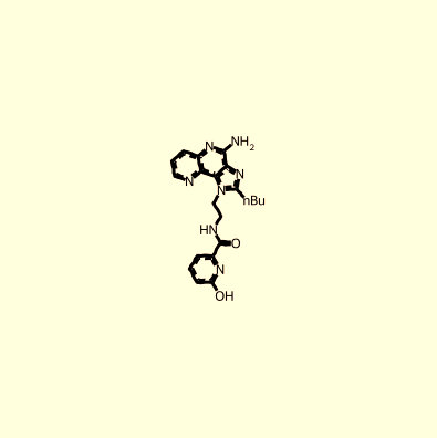 CCCCc1nc2c(N)nc3cccnc3c2n1CCNC(=O)c1cccc(O)n1